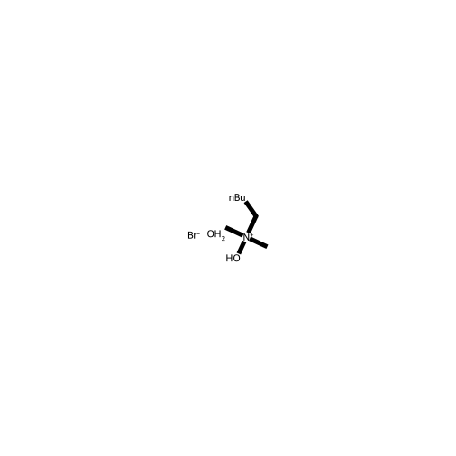 CCCCC[N+](C)(C)O.O.[Br-]